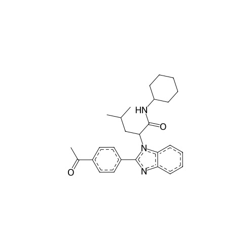 CC(=O)c1ccc(-c2nc3ccccc3n2C(CC(C)C)C(=O)NC2CCCCC2)cc1